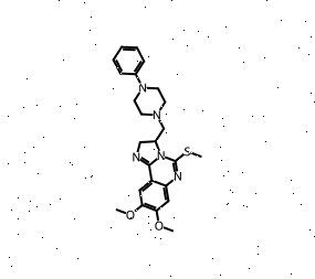 COc1cc2c(cc1OC)C1=NCC(CN3CCN(c4ccccc4)CC3)N1C(SC)=N2